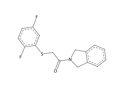 O=C(CSc1cc(F)ccc1F)N1Cc2ccccc2C1